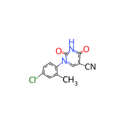 Cc1cc(Cl)ccc1-n1cc(C#N)c(=O)[nH]c1=O